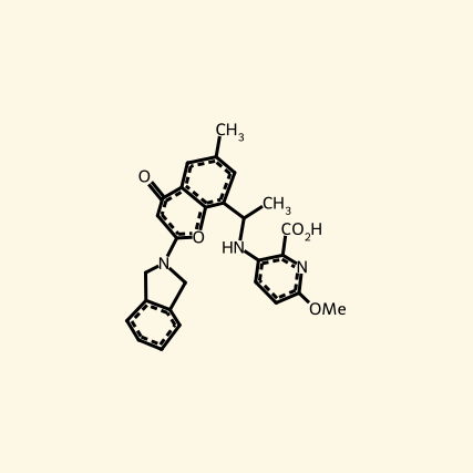 COc1ccc(NC(C)c2cc(C)cc3c(=O)cc(N4Cc5ccccc5C4)oc23)c(C(=O)O)n1